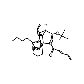 C=CC=CC(=O)Oc1cnc(CCCC)n1C1C2=CCC1(C(=O)OC(C)(C)C)C(CC1CCCC1)=C2